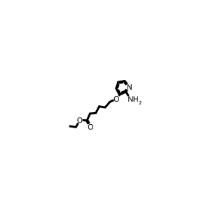 CCOC(=O)CCCCCOc1cccnc1N